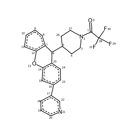 O=C(N1CCC(C2c3ccccc3Oc3cc(-c4cccnc4)ccc32)CC1)C(F)(F)F